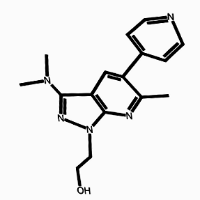 Cc1nc2c(cc1-c1ccncc1)c(N(C)C)nn2CCO